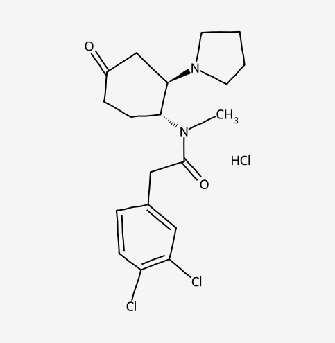 CN(C(=O)Cc1ccc(Cl)c(Cl)c1)[C@@H]1CCC(=O)C[C@H]1N1CCCC1.Cl